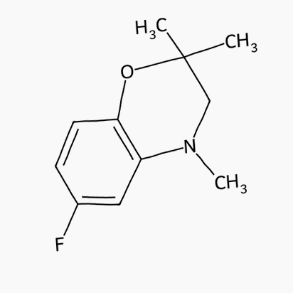 CN1CC(C)(C)Oc2ccc(F)cc21